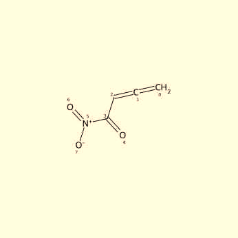 C=C=CC(=O)[N+](=O)[O-]